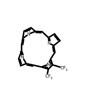 FC(F)(F)c1c(C(F)(F)F)c2cc3nc(cc4ccc(cc5nc(cc1[nH]2)C=C5)[nH]4)C=C3